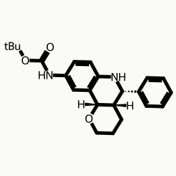 CC(C)(C)OC(=O)Nc1ccc2c(c1)[C@H]1OCCC[C@H]1[C@@H](c1ccccc1)N2